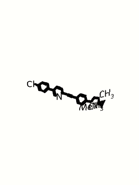 CNC1([C@H](C)C=C(C)c2ccc(C#Cc3ccc(-c4ccc(Cl)cc4)cn3)cc2)CC1